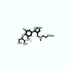 CNCCN(C)Cc1c[nH]nc1-c1cc(F)c(OC(CO)CO)c(C(F)(F)F)c1